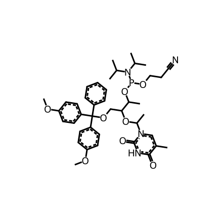 COc1ccc(C(OCC(OC(C)n2cc(C)c(=O)[nH]c2=O)C(C)OP(OCCC#N)N(C(C)C)C(C)C)(c2ccccc2)c2ccc(OC)cc2)cc1